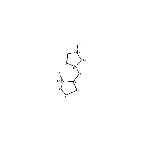 CN1CCN(CC2CCCN2C)C1